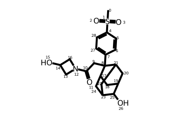 CS(=O)(=O)c1ccc(C2(CC(=O)N3CC(O)C3)C3CC4CC2CC(C3)C4O)cc1